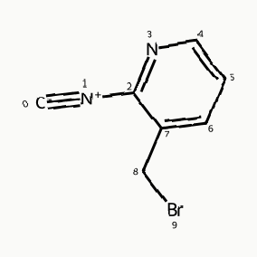 [C-]#[N+]c1ncccc1CBr